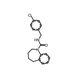 O=C(NCc1ccc(Cl)cc1)N1CCCCc2ccccc21